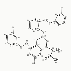 Cc1cccc(COc2ccccc2CN(CC[C@H](N)C(=O)O)Cc2ccc(F)cc2OCc2cccc(C)c2)c1